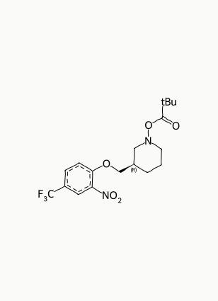 CC(C)(C)C(=O)ON1CCC[C@@H](COc2ccc(C(F)(F)F)cc2[N+](=O)[O-])C1